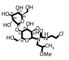 COC(C)CN(C(=O)NCCCl)C1O[C@H](CO)[C@@H](O[C@H]2O[C@H](CO)[C@@H](O)[C@H](O)[C@H]2O)[C@H](O)[C@H]1O